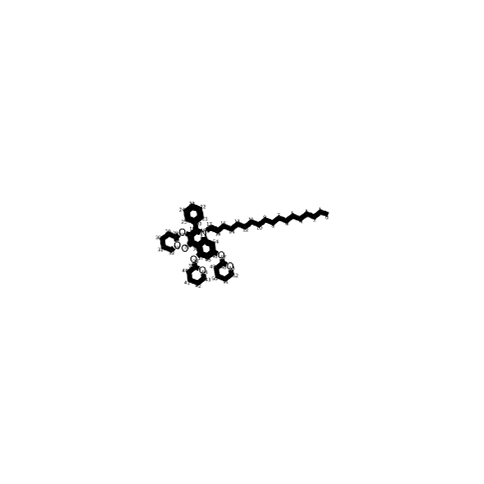 CCCCCCCCCCCCCCCCC=Cn1c(-c2ccccc2)c(OC2CCCCO2)c(=O)c2c(OC3CCCCO3)cc(OC3CCCCO3)cc21